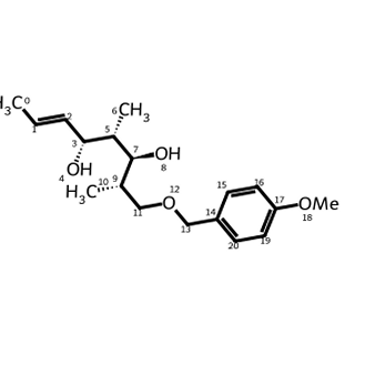 CC=C[C@@H](O)[C@H](C)[C@@H](O)[C@@H](C)COCc1ccc(OC)cc1